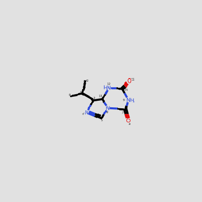 CC(C)C1N=CN2C(=O)NC(=O)NC12